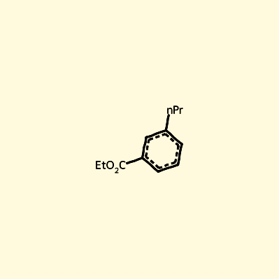 C[CH]Cc1cccc(C(=O)OCC)c1